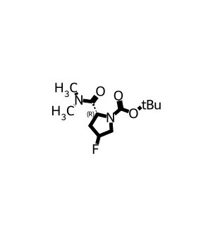 CN(C)C(=O)[C@H]1CC(F)CN1C(=O)OC(C)(C)C